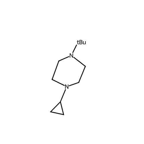 CC(C)(C)N1CCN(C2CC2)CC1